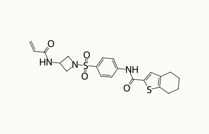 C=CC(=O)NC1CN(S(=O)(=O)c2ccc(NC(=O)c3cc4c(s3)CCCC4)cc2)C1